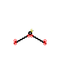 COC(=O)CCCCCCCCCCOc1ccc(SC)cc1OCCCCCCCCCCC(=O)OC